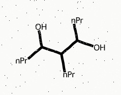 CCCC(O)C(CCC)C(O)CCC